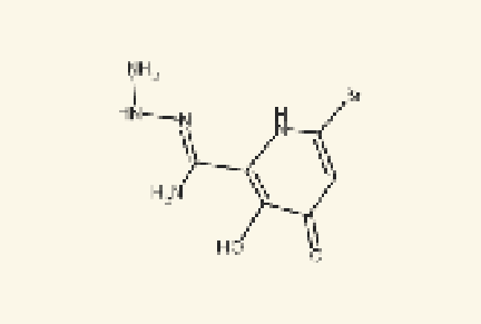 NN/N=C(\N)c1[nH]c(Br)cc(=O)c1O